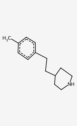 Cc1ccc(CCC2CCNCC2)cc1